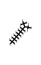 IC(I)(I)[C](C(I)(I)I)C(I)(I)C(I)(I)C(I)(I)C(I)(I)C(I)(I)C(I)(I)I